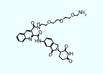 NCOCCOCCOCCNC(=O)c1cc2ccccc2nc1C(=O)Nc1ccc2c(c1)C(=O)N(C1CCC(=O)NC1=O)C2